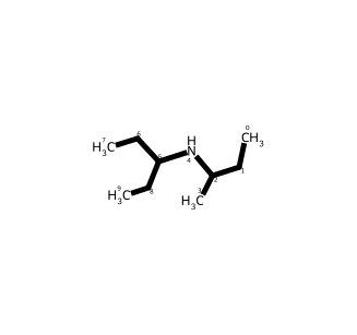 CCC(C)NC(CC)CC